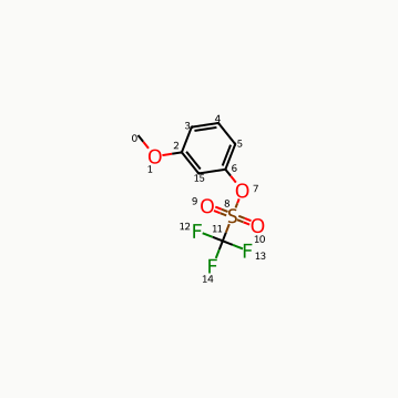 COc1cccc(OS(=O)(=O)C(F)(F)F)c1